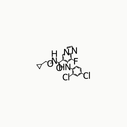 O=C(NOCC1CC1)c1cn2ccnc2c(F)c1Nc1ccc(Cl)cc1Cl